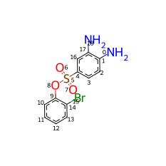 Nc1ccc(S(=O)(=O)Oc2ccccc2Br)cc1N